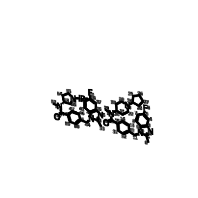 Cc1nc2cc(F)ccc2n1Cc1ccc(C(=O)N(C)C2CCN(C3CCCC3)CC2)cc1.Cc1nc2cc(F)ccc2n1Cc1ccc(C(=O)N(C)[C@@H]2CCN(C(C)C)C2)cc1